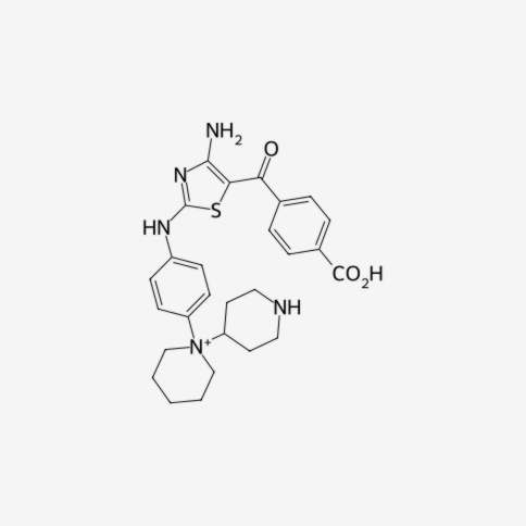 Nc1nc(Nc2ccc([N+]3(C4CCNCC4)CCCCC3)cc2)sc1C(=O)c1ccc(C(=O)O)cc1